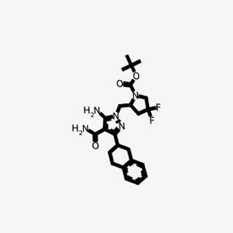 CC(C)(C)OC(=O)N1CC(F)(F)CC1Cn1nc(C2CCc3ccccc3C2)c(C(N)=O)c1N